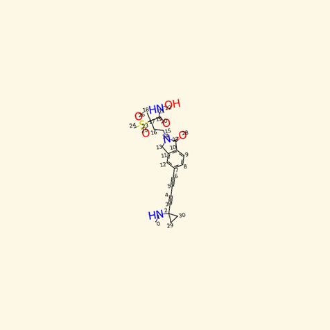 CNC1(C#CC#Cc2ccc3c(c2)CN(CCC(C)(C(=O)NO)S(C)(=O)=O)C3=O)CC1